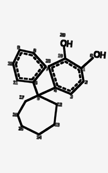 Oc1ccc(C2(c3ccccc3)CCCCCC2)cc1O